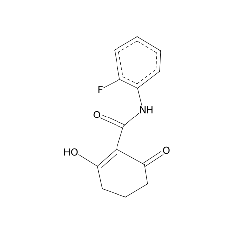 O=C1CCCC(O)=C1C(=O)Nc1ccccc1F